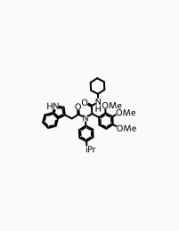 COc1ccc(C(C(=O)NC2CCCCC2)N(C(=O)Cc2c[nH]c3ccccc23)c2ccc(C(C)C)cc2)c(OC)c1OC